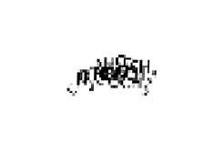 CCOP(=O)(OCC)C(Cc1nc(Cc2ccc(C3CCCC3)cc2)no1)C(=O)OC(C)(C)C